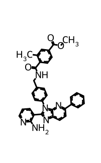 COC(=O)c1ccc(C(=O)NCc2ccc(-n3c(-c4cccnc4N)nc4ccc(-c5ccccc5)nc43)cc2)c(C)c1